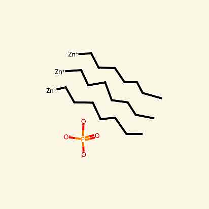 CCCCCC[CH2][Zn+].CCCCCC[CH2][Zn+].CCCCCC[CH2][Zn+].O=P([O-])([O-])[O-]